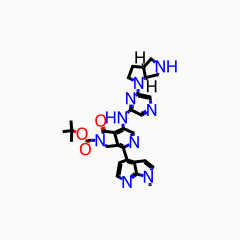 Cn1ccc2c(-c3ncc(Nc4cncc(N5CC[C@H]6CNC[C@H]65)n4)c4c3CN(C(=O)OC(C)(C)C)C4=O)ccnc21